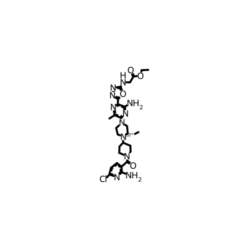 CCOC(=O)CNc1nnc(-c2nc(C)c(N3CCN(C4CCN(C(=O)c5ccc(Cl)nc5N)CC4)[C@@H](CC)C3)nc2N)o1